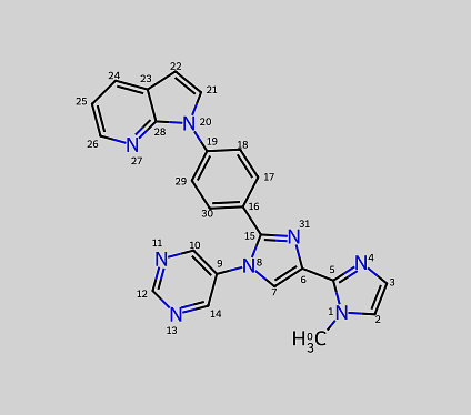 Cn1ccnc1-c1cn(-c2cncnc2)c(-c2ccc(-n3ccc4cccnc43)cc2)n1